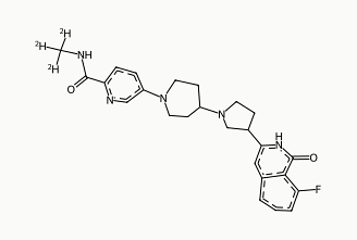 [2H]C([2H])([2H])NC(=O)c1ccc(N2CCC(N3CCC(c4cc5cccc(F)c5c(=O)[nH]4)C3)CC2)cn1